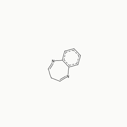 C1=Nc2ccccc2N=CC1